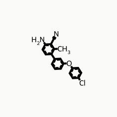 Cc1c(-c2cccc(Oc3ccc(Cl)cc3)c2)ccc(N)c1C#N